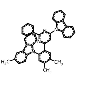 Cc1ccc2c(c1)c1ccccc1n2-c1cc(C)c(C)cc1-c1cc(-n2c3ccccc3c3ccccc32)nc(-c2ccccc2)n1